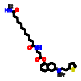 CCCN(CCc1cccs1)[C@H]1CCc2c(cccc2OC(=O)CCNC(=O)CCCCCCCCCCC(=O)NCC)C1